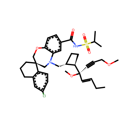 CC/C=C/[C@@](C#CCOC)(OC)[C@@H]1CC[C@H]1CN1C[C@@]2(CCCc3cc(Cl)ccc32)COc2ccc(C(=O)NS(=O)(=O)C(C)C)cc21